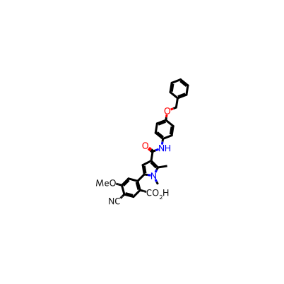 COc1cc(-c2cc(C(=O)Nc3ccc(OCc4ccccc4)cc3)c(C)n2C)c(C(=O)O)cc1C#N